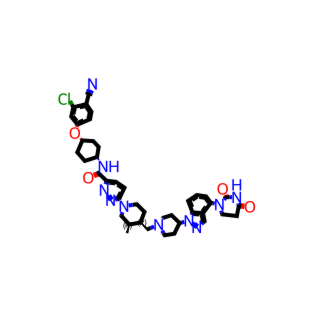 C[C@H]1CN(c2ccc(C(=O)N[C@H]3CC[C@H](Oc4ccc(C#N)c(Cl)c4)CC3)nn2)CC[C@H]1CN1CCC(n2ncc3c(N4CCC(=O)NC4=O)cccc32)CC1